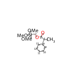 CO[Si](COC(=O)C(C)c1ccccc1)(OC)OC